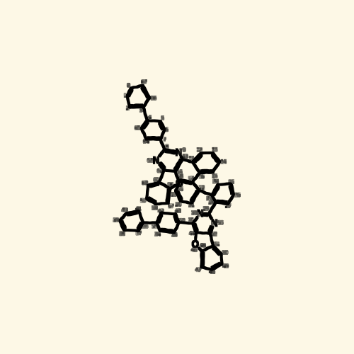 c1ccc(-c2ccc(-c3nc(-c4ccccc4-c4ccccc4-c4ccccc4-c4nc(-c5ccc(-c6ccccc6)cc5)c5oc6ccccc6c5n4)c4oc5ccccc5c4n3)cc2)cc1